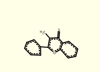 Cc1c(-c2ccccc2)oc2ccccc2c1=S